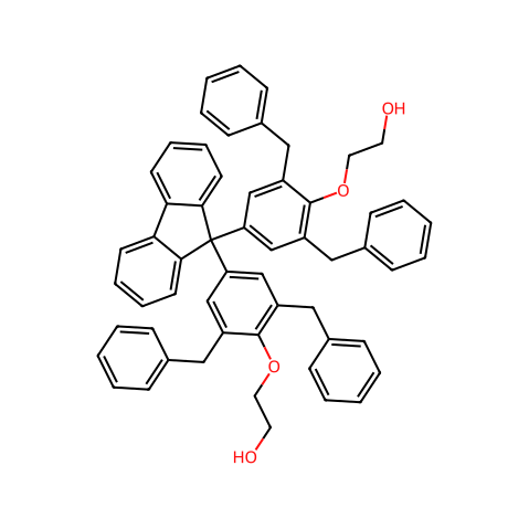 OCCOc1c(Cc2ccccc2)cc(C2(c3cc(Cc4ccccc4)c(OCCO)c(Cc4ccccc4)c3)c3ccccc3-c3ccccc32)cc1Cc1ccccc1